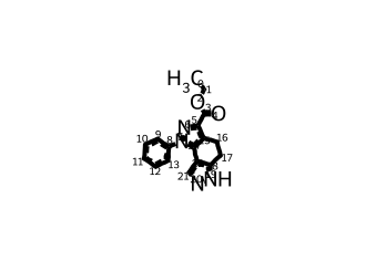 CCOC(=O)c1nn(-c2ccccc2)c2c1CCc1[nH]ncc1-2